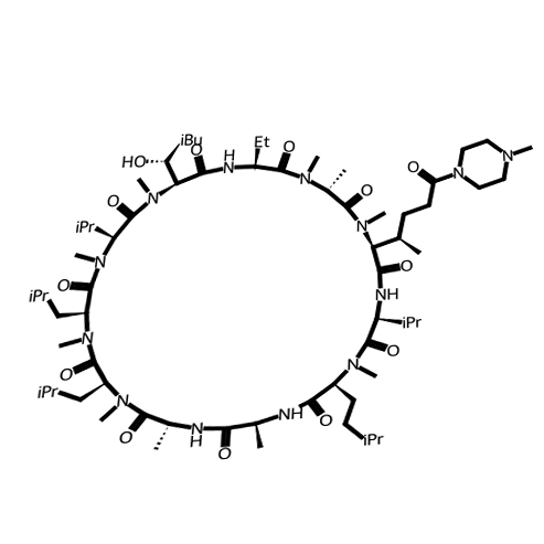 CC[C@@H]1NC(=O)[C@H]([C@H](O)[C@H](C)CC)N(C)C(=O)[C@H](C(C)C)N(C)C(=O)[C@H](CC(C)C)N(C)C(=O)[C@H](CC(C)C)N(C)C(=O)[C@@H](C)NC(=O)[C@H](C)NC(=O)[C@H](CCC(C)C)N(C)C(=O)[C@H](C(C)C)NC(=O)[C@H]([C@H](C)CCC(=O)N2CCN(C)CC2)N(C)C(=O)[C@@H](C)N(C)C1=O